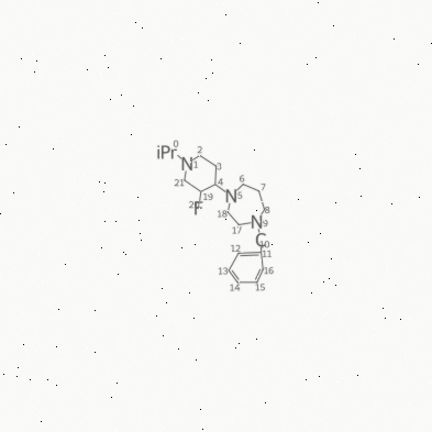 CC(C)N1CCC(N2CCCN(Cc3ccccc3)CC2)C(F)C1